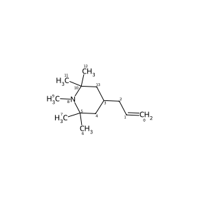 C=CCC1CC(C)(C)N(C)C(C)(C)C1